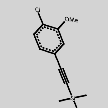 COc1cc(C#C[Si](C)(C)C)ccc1Cl